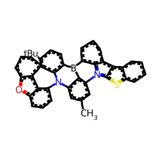 Cc1cc2c3c(c1)-n1c4sc5ccccc5c4c4cccc(c41)B3c1ccc(C(C)(C)C)cc1N2c1cccc2oc3ccccc3c12